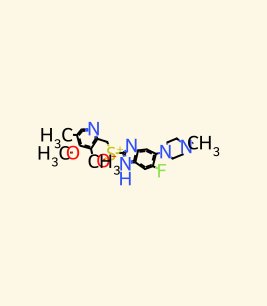 COc1c(C)cnc(C[S+]([O-])c2nc3cc(N4CCN(C)CC4)c(F)cc3[nH]2)c1C